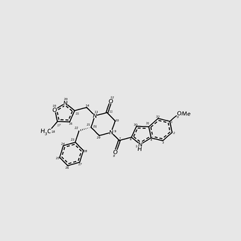 COc1ccc2[nH]c(C(=O)N3CC(=O)N(Cc4cc(C)on4)[C@@H](Cc4ccccc4)C3)cc2c1